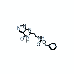 O=C(NCCc1nc2ncncc2c(=O)[nH]1)OCc1ccccc1